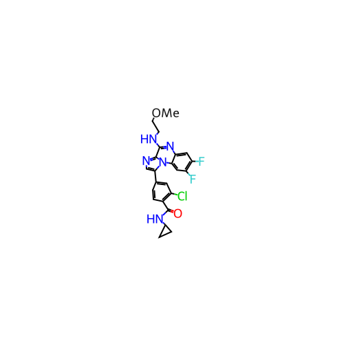 COCCNc1nc2cc(F)c(F)cc2n2c(-c3ccc(C(=O)NC4CC4)c(Cl)c3)cnc12